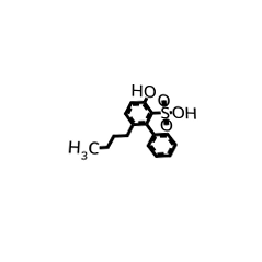 CCCCc1ccc(O)c(S(=O)(=O)O)c1-c1ccccc1